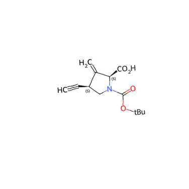 C#C[C@@H]1CN(C(=O)OC(C)(C)C)[C@H](C(=O)O)C1=C